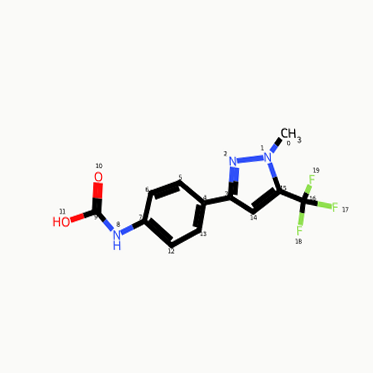 Cn1nc(-c2ccc(NC(=O)O)cc2)cc1C(F)(F)F